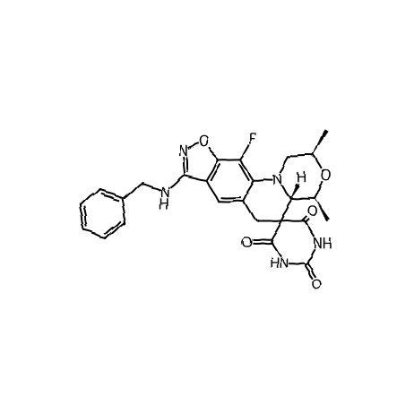 C[C@@H]1CN2c3c(cc4c(NCc5ccccc5)noc4c3F)CC3(C(=O)NC(=O)NC3=O)[C@H]2[C@H](C)O1